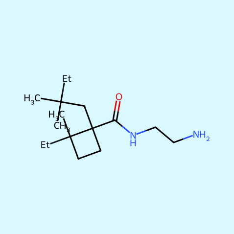 CCC(C)(C)CC1(C(=O)NCCN)CCC1(C)CC